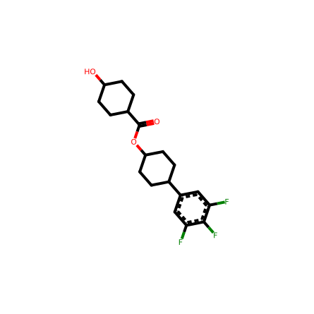 O=C(OC1CCC(c2cc(F)c(F)c(F)c2)CC1)C1CCC(O)CC1